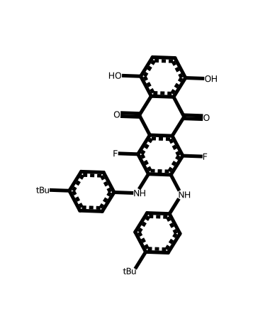 CC(C)(C)c1ccc(Nc2c(F)c3c(c(F)c2Nc2ccc(C(C)(C)C)cc2)C(=O)c2c(O)ccc(O)c2C3=O)cc1